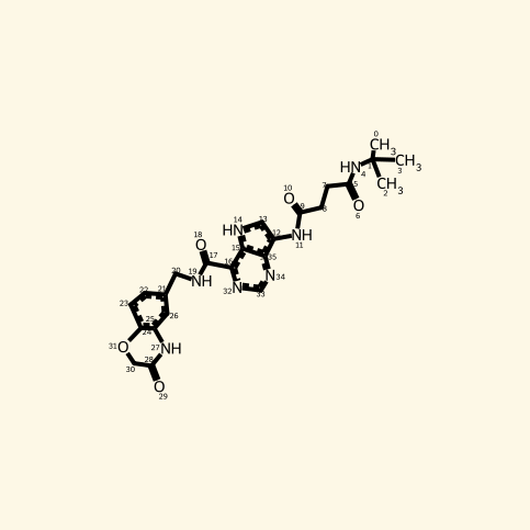 CC(C)(C)NC(=O)CCC(=O)Nc1c[nH]c2c(C(=O)NCc3ccc4c(c3)NC(=O)CO4)ncnc12